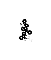 CC1(C)c2ccccc2-c2ccc(N(c3ccccc3)c3cc4ccc5c6ccccc6[se]c5c4c4ccccc34)cc21